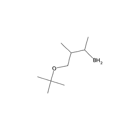 BC(C)C(C)COC(C)(C)C